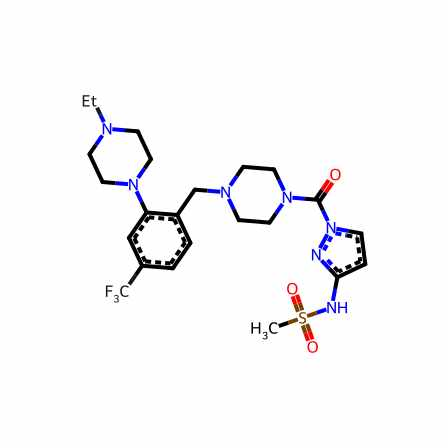 CCN1CCN(c2cc(C(F)(F)F)ccc2CN2CCN(C(=O)n3ccc(NS(C)(=O)=O)n3)CC2)CC1